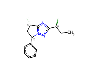 CC[C@H](F)c1nc2n(n1)[C@H](c1ccccc1)C[C@@H]2F